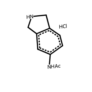 CC(=O)Nc1ccc2c(c1)CNC2.Cl